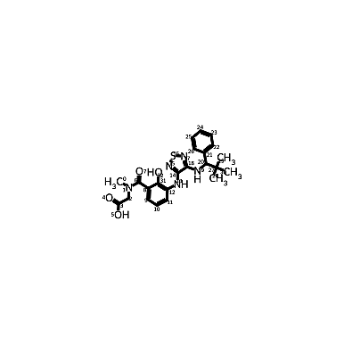 CN(CC(=O)O)C(=O)c1cccc(Nc2nsnc2NC(c2ccccc2)C(C)(C)C)c1O